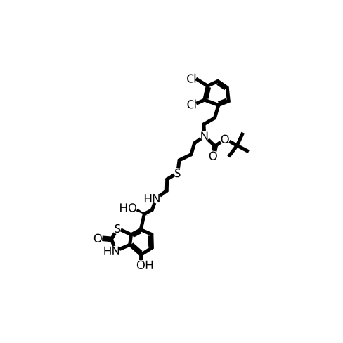 CC(C)(C)OC(=O)N(CCCSCCNC[C@H](O)c1ccc(O)c2[nH]c(=O)sc12)CCc1cccc(Cl)c1Cl